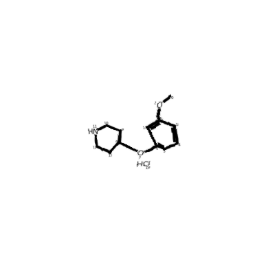 COc1cccc(OC2CCNCC2)c1.Cl